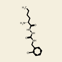 CCCC[C@@H](N)C(=O)NNC(=O)NCc1ccccc1Cl